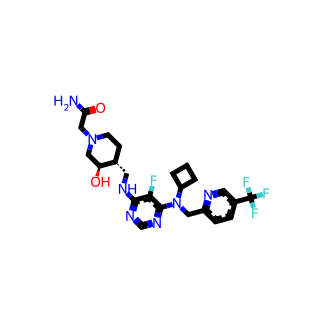 NC(=O)CN1CC[C@H](CNc2ncnc(N(Cc3ccc(C(F)(F)F)cn3)C3CCC3)c2F)[C@@H](O)C1